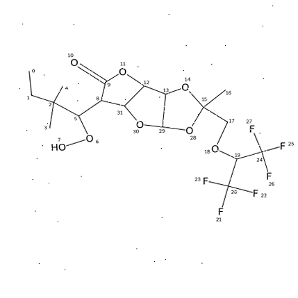 CCC(C)(C)C(OO)C1C(=O)OC2C3OC(C)(COC(C(F)(F)F)C(F)(F)F)OC3OC21